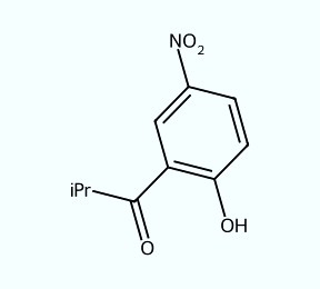 CC(C)C(=O)c1cc([N+](=O)[O-])ccc1O